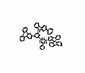 c1ccc(-c2ccc3c4ccccc4n(-c4cc(-c5ccc6c7ccccc7c7ccccc7c6c5)cc(-c5nc(-c6ccccc6)nc(-c6ccc7c(c6)C6(c8ccccc8-c8ccccc86)c6ccccc6-7)n5)c4)c3c2)cc1